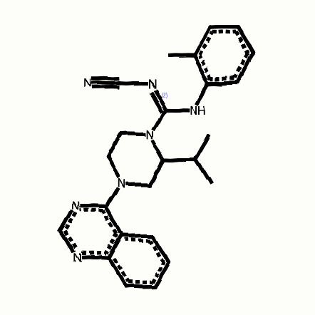 Cc1ccccc1N/C(=N/C#N)N1CCN(c2ncnc3ccccc23)CC1C(C)C